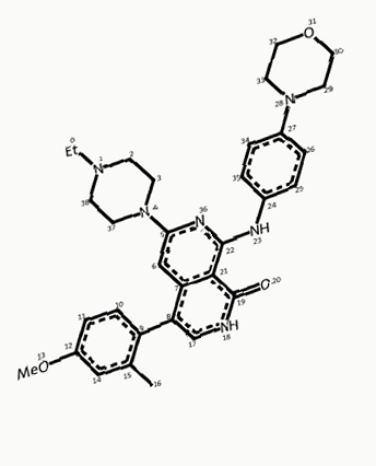 CCN1CCN(c2cc3c(-c4ccc(OC)cc4C)c[nH]c(=O)c3c(Nc3ccc(N4CCOCC4)cc3)n2)CC1